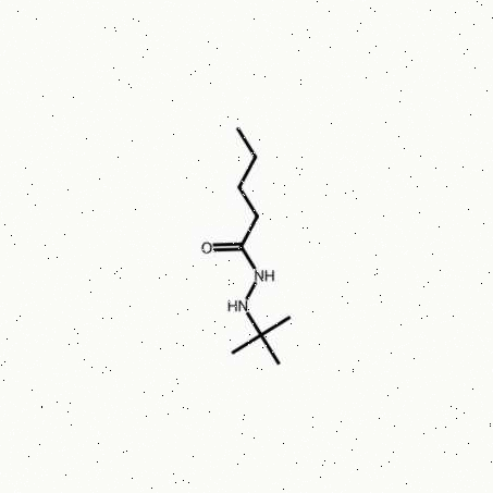 CCCCC(=O)NNC(C)(C)C